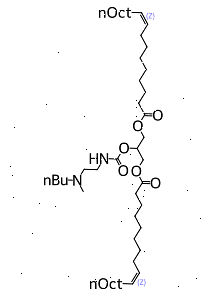 CCCCCCCC/C=C\CCCCCCCC(=O)OCC(COC(=O)CCCCCCC/C=C\CCCCCCCC)OC(=O)NCCN(C)CCCC